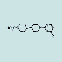 O=C(O)N1CCC(C2CCN(c3cc(Cl)ncn3)CC2)CC1